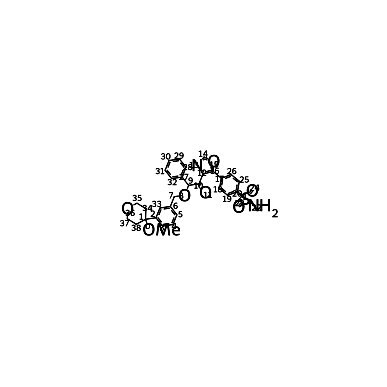 COC1(c2cccc(COC(C(=O)c3ncoc3-c3ccc(S(N)(=O)=O)cc3)c3ccccc3)c2)CCOCC1